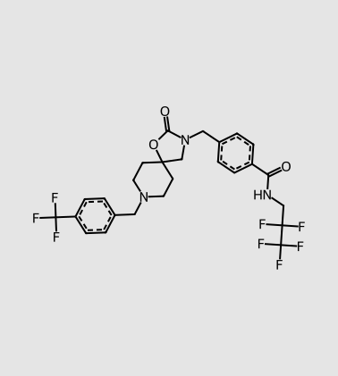 O=C(NCC(F)(F)C(F)(F)F)c1ccc(CN2CC3(CCN(Cc4ccc(C(F)(F)F)cc4)CC3)OC2=O)cc1